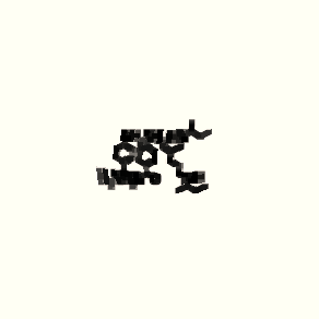 CCC(C)NCCCC(C)CNC(C)CC.NC(=O)c1ccc(N)cc1.NC(=O)c1ccc(N)cc1